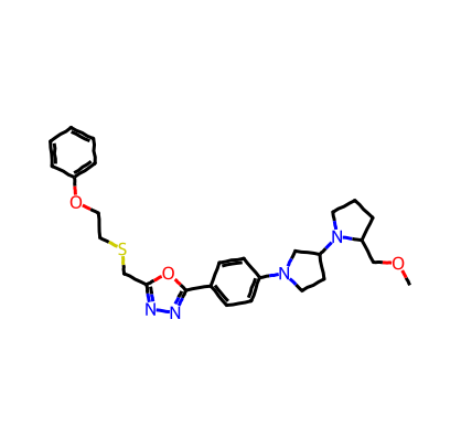 COCC1CCCN1C1CCN(c2ccc(-c3nnc(CSCCOc4ccccc4)o3)cc2)C1